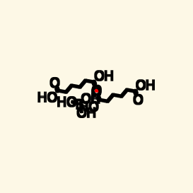 O=C(O)CCCCC(=O)O.O=C(O)CCCCC(=O)O.OB(O)O